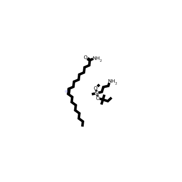 CCC(C)(C)O[Si](C)(CCCN)OC.CCCCCCCC/C=C\CCCCCCCC(N)=O